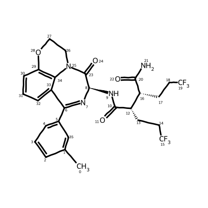 Cc1cccc(C2=N[C@H](NC(=O)[C@@H](CCC(F)(F)F)[C@@H](CCC(F)(F)F)C(N)=O)C(=O)N3CCOc4cccc2c43)c1